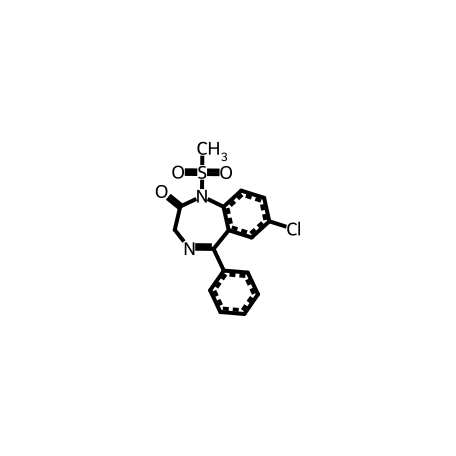 CS(=O)(=O)N1C(=O)CN=C(c2ccccc2)c2cc(Cl)ccc21